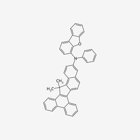 CC1(C)c2c(ccc3cc(N(c4ccccc4)c4cccc5c4oc4ccccc45)ccc23)-c2c1c1ccccc1c1ccccc21